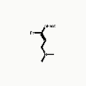 CCCCCC(=CCN(C)C)CC